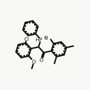 COc1cccc(Cl)c1C(C(=O)c1c(C)cc(C)cc1C)[PH](=O)c1ccccc1